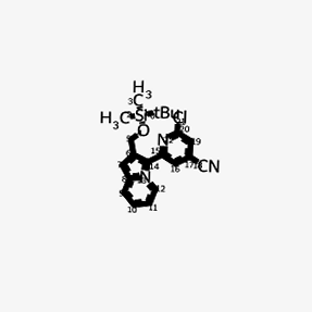 CC(C)(C)[Si](C)(C)OCc1cc2ccccn2c1-c1cc(C#N)cc(Cl)n1